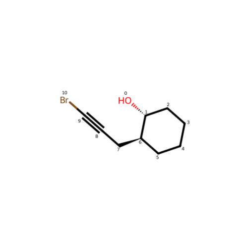 O[C@@H]1CCCC[C@H]1CC#CBr